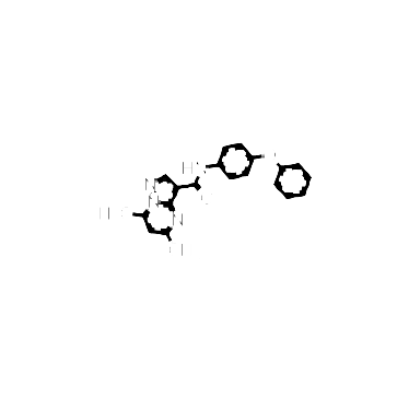 Cc1cc(C)n2ncc(C(=O)Nc3ccc(Oc4ccccc4)cc3)c2n1